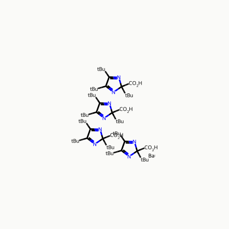 CC(C)(C)C1=NC(C(=O)O)(C(C)(C)C)N=C1C(C)(C)C.CC(C)(C)C1=NC(C(=O)O)(C(C)(C)C)N=C1C(C)(C)C.CC(C)(C)C1=NC(C(=O)O)(C(C)(C)C)N=C1C(C)(C)C.CC(C)(C)C1=NC(C(=O)O)(C(C)(C)C)N=C1C(C)(C)C.[Ba]